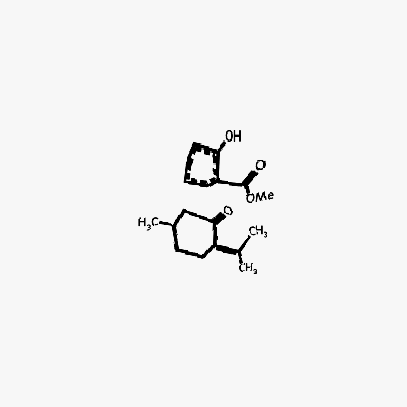 CC(C)=C1CC[C@@H](C)CC1=O.COC(=O)c1ccccc1O